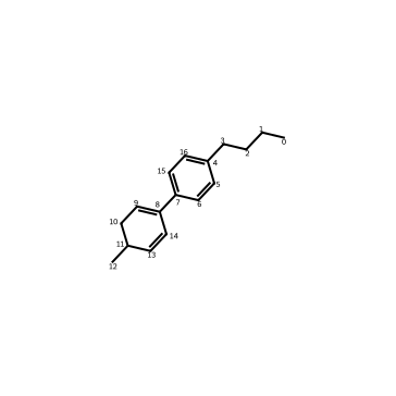 CCCCc1ccc(C2=CCC(C)C=C2)cc1